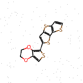 c1cc2sc3cc(-c4scc5c4OCCO5)sc3c2s1